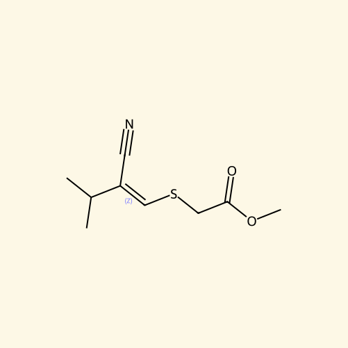 COC(=O)CS/C=C(\C#N)C(C)C